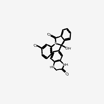 O=C1CNc2ccc(C3(O)c4ccccc4C(=O)N3c3cccc(Cl)c3)cc2N1